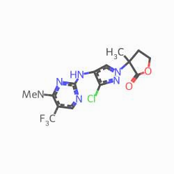 CNc1nc(Nc2cn(C3(C)CCOC3=O)nc2Cl)ncc1C(F)(F)F